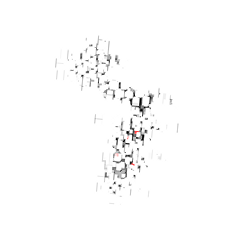 CC[C@@H]1O[C@@H](O[C@@H](C[C@H](O)CC(=O)N[C@@H](C[C@H](O)CC(=O)N[C@H]2C(CO)O[C@@H](OC(=O)[C@]34CCC(C)(C)CC3C3=CCC5C6(C)CC[C@H](O[C@@H]7OC(C(=O)O)[C@@H](O)[C@H](O[C@@H]8OC[C@@H](O)[C@H](O)C8O)C7O[C@@H]7OC(CO)[C@H](O)[C@H](O)C7O)[C@](C)(C=O)[C@@H]6CC[C@]5(C)[C@]3(C)CC4O)C(O[C@@H]3OC(C)[C@H](O[C@@H]4OC[C@@H](O)C(O[C@@H]5OCC(O)(CO)[C@@H]5O)C4O)C(O)C3O)C2O)[C@@H](C)CC)[C@@H](C)CC)C(O)C1O